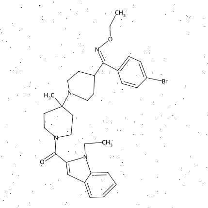 CCO/N=C(\c1ccc(Br)cc1)C1CCN(C2(C)CCN(C(=O)c3cc4ccccc4n3CC)CC2)CC1